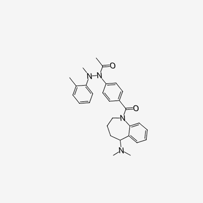 CC(=O)N(c1ccc(C(=O)N2CCCC(N(C)C)c3ccccc32)cc1)N(C)c1ccccc1C